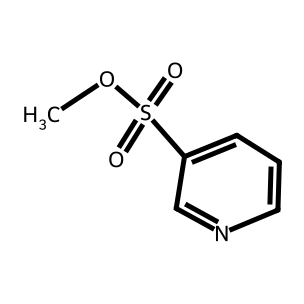 COS(=O)(=O)c1cccnc1